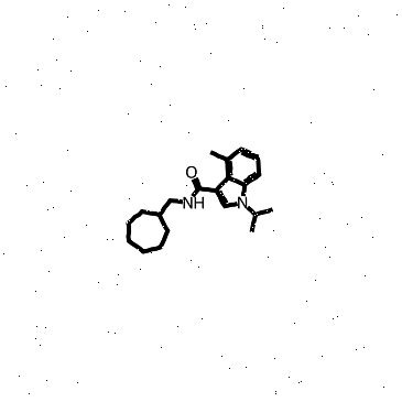 Cc1cccc2c1c(C(=O)NCC1CCCCCC1)cn2C(C)C